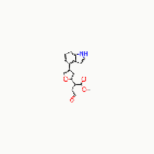 COC(=O)C(CC=O)c1cc(-c2cccc3[nH]ccc23)co1